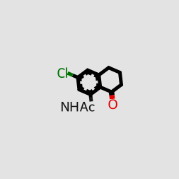 CC(=O)Nc1cc(Cl)cc2c1C(=O)CCC2